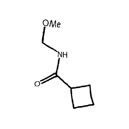 COCNC(=O)C1CCC1